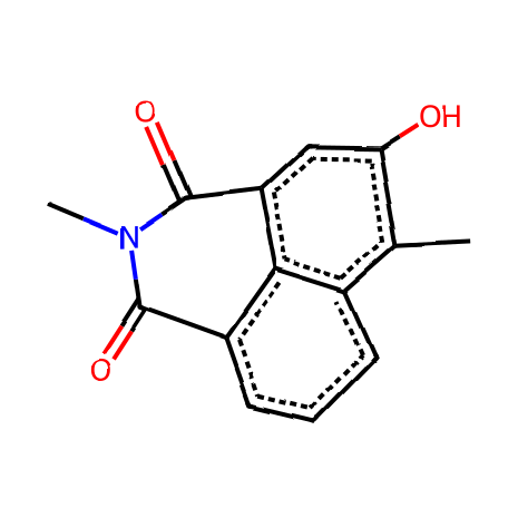 Cc1c(O)cc2c3c(cccc13)C(=O)N(C)C2=O